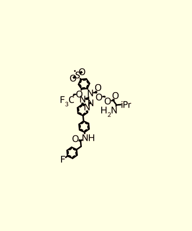 CC(C)C(N)C(=O)OCOC(=O)N(c1nc2ccc(-c3ccc(NC(=O)Cc4ccc(F)cc4)cc3)cn2n1)c1ccc(S(C)(=O)=O)cc1OCC(F)(F)F